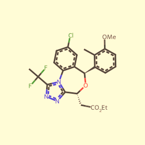 CCOC(=O)C[C@H]1O[C@H](c2cccc(OC)c2C)c2cc(Cl)ccc2-n2c1nnc2C(C)(F)F